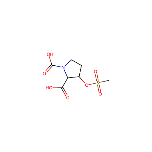 CS(=O)(=O)OC1CCN(C(=O)O)C1C(=O)O